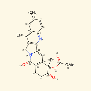 CCc1c2c(nc3ccc(C)cc13)-c1cc3c(c(=O)n1C2)CCC(=O)C3(CC)OC(=O)OC